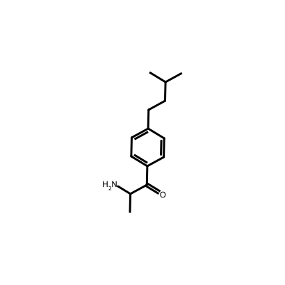 CC(C)CCc1ccc(C(=O)C(C)N)cc1